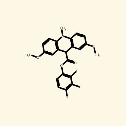 COc1ccc2c(c1)C(C(=O)Oc1ccc(F)c(F)c1F)c1cc(OC)ccc1N2C